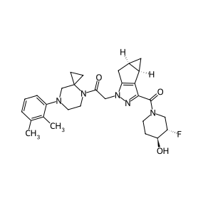 Cc1cccc(N2CCN(C(=O)Cn3nc(C(=O)N4CC[C@H](O)[C@@H](F)C4)c4c3C[C@H]3C[C@@H]43)C3(CC3)C2)c1C